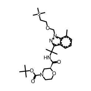 Cc1cccc2c(C(C)(C)NC(=O)[C@@H]3CN(C(=O)OC(C)(C)C)CCO3)nn(COCCS(C)(C)C)c12